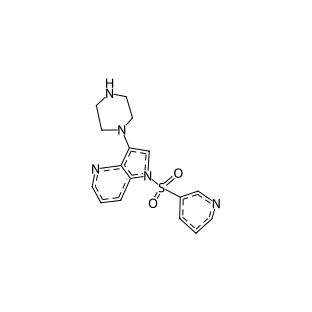 O=S(=O)(c1cccnc1)n1cc(N2CCNCC2)c2ncccc21